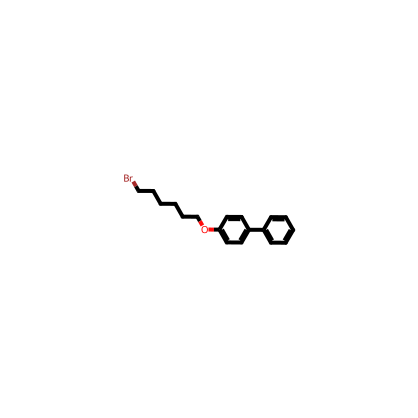 BrCCCCCCOc1ccc(-c2ccccc2)cc1